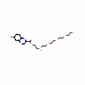 CCN(CCNC(=O)c1cnc2cc(I)ccc2n1)CCOCCOCCOCCF